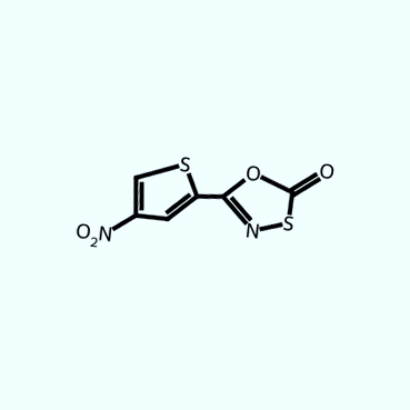 O=c1oc(-c2cc([N+](=O)[O-])cs2)ns1